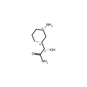 NC(=O)[C@@H](O)[C@@H]1CCC[C@H](N)C1